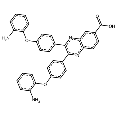 Nc1ccccc1Oc1ccc(-c2nc3ccc(C(=O)O)cc3nc2-c2ccc(Oc3ccccc3N)cc2)cc1